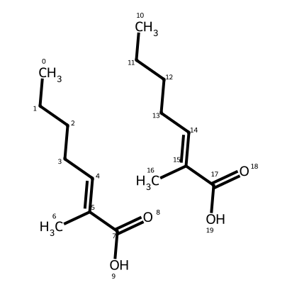 CCCC/C=C(\C)C(=O)O.CCCC/C=C(\C)C(=O)O